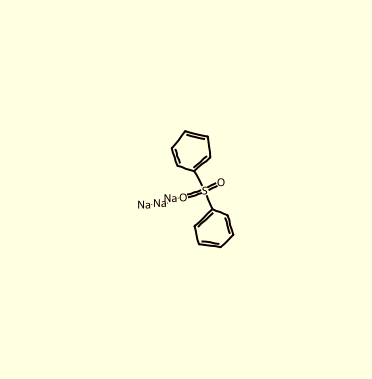 O=S(=O)(c1ccccc1)c1ccccc1.[Na].[Na].[Na]